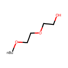 CC[CH]COCCOCCO